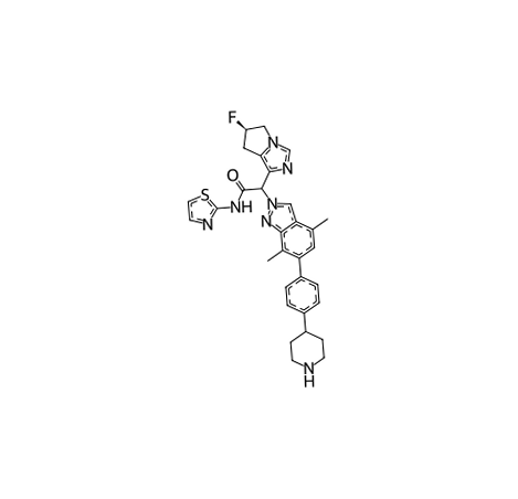 Cc1cc(-c2ccc(C3CCNCC3)cc2)c(C)c2nn(C(C(=O)Nc3nccs3)c3ncn4c3C[C@@H](F)C4)cc12